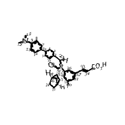 [2H][C@H](c1ccc(-c2ccc(N(C)C)cc2)cc1)N(C(=O)[C@@H]1C[C@H]2CC[C@@H]1C2)c1cc(F)cc(/C=C/C(=O)O)c1